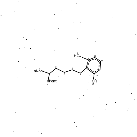 CCCCCCCCCC(CCCCC)CCCCc1c(O)cccc1O